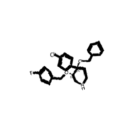 Fc1ccc(CO[C@H]2CNCC[C@@]2(OCc2ccccc2)c2ccc(Cl)cc2)cc1